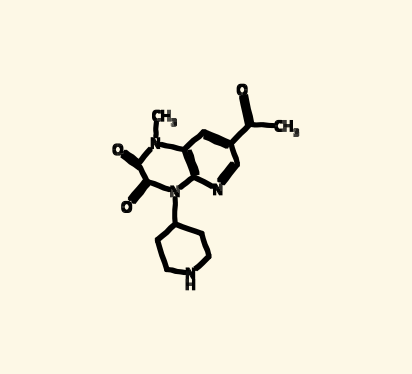 CC(=O)c1cnc2c(c1)n(C)c(=O)c(=O)n2C1CCNCC1